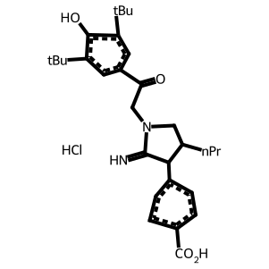 CCCC1CN(CC(=O)c2cc(C(C)(C)C)c(O)c(C(C)(C)C)c2)C(=N)C1c1ccc(C(=O)O)cc1.Cl